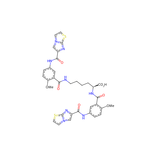 COc1ccc(NC(=O)c2cn3ccsc3n2)cc1C(=O)NCCCC[C@H](NC(=O)c1cc(NC(=O)c2cn3ccsc3n2)ccc1OC)C(=O)O